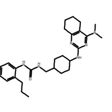 CCCc1ccccc1NC(=O)NCC1CCC(Nc2nc3c(c(N(C)C)n2)CCCC3)CC1